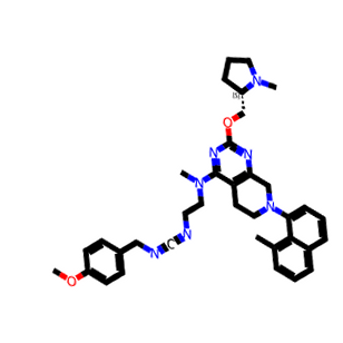 COc1ccc(CN=C=NCCN(C)c2nc(OC[C@@H]3CCCN3C)nc3c2CCN(c2cccc4cccc(C)c24)C3)cc1